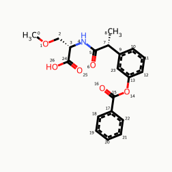 COC[C@H](NC(=O)[C@H](C)c1cccc(OC(=O)c2ccccc2)c1)C(=O)O